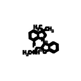 CNC[C@@H]1Oc2ccccc2[C@H]1N1CC(C)(C)c2cccc(F)c21